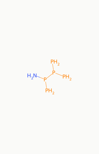 NP(P)P(P)P